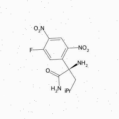 CC(C)C[C@](N)(C(N)=O)c1cc(F)c([N+](=O)[O-])cc1[N+](=O)[O-]